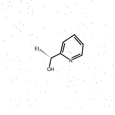 CC[C@@H](O)c1ccccn1